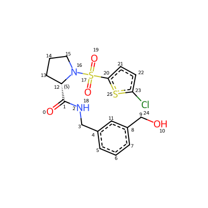 O=C(NCc1cccc(CO)c1)[C@@H]1CCCN1S(=O)(=O)c1ccc(Cl)s1